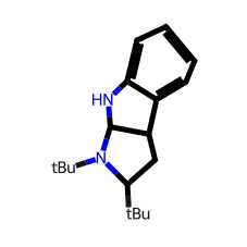 CC(C)(C)C1CC2c3ccccc3NC2N1C(C)(C)C